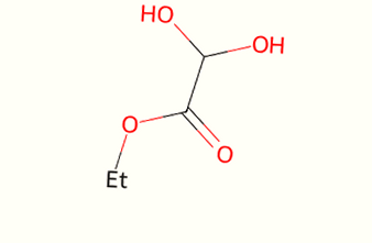 CCOC(=O)C(O)O